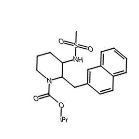 CC(C)OC(=O)N1CCCC(NS(C)(=O)=O)C1Cc1ccc2ccccc2c1